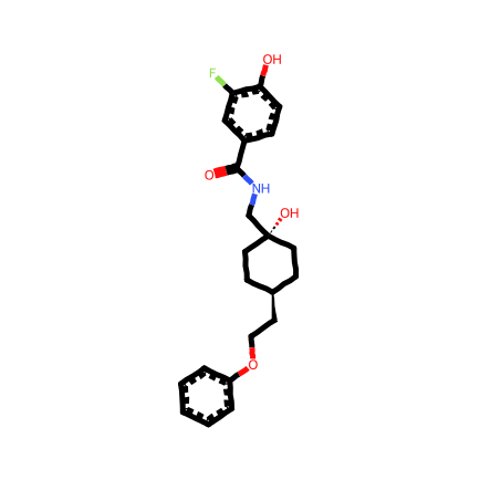 O=C(NC[C@]1(O)CC[C@H](CCOc2ccccc2)CC1)c1ccc(O)c(F)c1